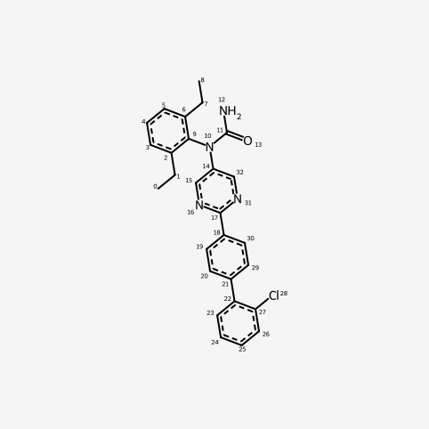 CCc1cccc(CC)c1N(C(N)=O)c1cnc(-c2ccc(-c3ccccc3Cl)cc2)nc1